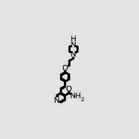 NC(=O)c1ccncc1C=Cc1ccc(OCCCN2CCNCC2)cc1